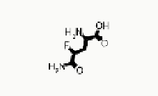 NC(=O)C(F)CC(N)C(=O)O